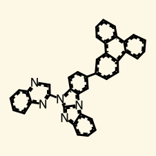 c1ccc2nc(-n3c4ccc(-c5ccc6c7ccccc7c7ccccc7c6c5)cc4n4c5ccccc5nc34)cnc2c1